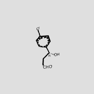 O=CC[C@@H](O)c1ccc(Cl)cc1